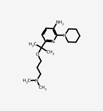 CN(C)CCCOC(C)(C)c1ccc(N)c(N2CCCCC2)n1